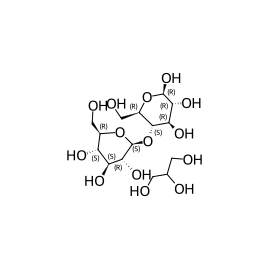 OCC(O)CO.OC[C@H]1O[C@@H](O[C@H]2[C@H](O)[C@@H](O)[C@H](O)O[C@@H]2CO)[C@H](O)[C@@H](O)[C@@H]1O